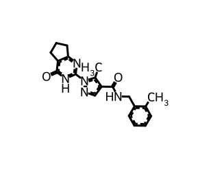 Cc1ccccc1CNC(=O)c1cnn(-c2nc3c(c(=O)[nH]2)CCC3)c1C